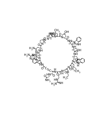 CCCC[C@H]1C(O)N[C@@H](CCCNC(=N)N)C(=O)N[C@H](C(=O)NCC(N)=O)CSCC(=O)N[C@@H](Cc2ccc(N=C(N)N)cc2)C(=O)N(C)[C@@H](C)C(=O)N[C@@H](CC(N)=O)C(=O)N2CCC[C@H]2C(=O)N[C@@H](CN)C(=O)N[C@@H](CC(C)C)C(=O)N2C[C@H](O)CC2C(=O)N[C@@H](Cc2c[nH]c3ccccc23)C(=O)N[C@@H](CO)C(=O)N[C@@H](Cc2c[nH]c3ccccc23)C(O)N(C)[C@@H](CCCC)C(=O)N1C